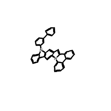 c1ccc(-c2cccc(-n3c4ccccc4c4cc5c(cc43)cc3c4ccccc4c4ccccc4n53)c2)cc1